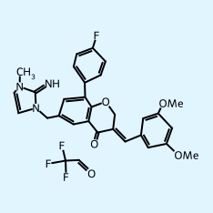 COc1cc(/C=C2\COc3c(cc(Cn4ccn(C)c4=N)cc3-c3ccc(F)cc3)C2=O)cc(OC)c1.O=CC(F)(F)F